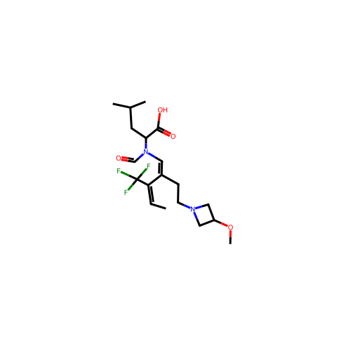 C/C=C(\C(=C/N(C=O)C(CC(C)C)C(=O)O)CCN1CC(OC)C1)C(F)(F)F